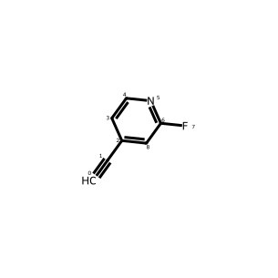 C#Cc1ccnc(F)c1